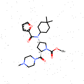 CN1CCN(C(=O)[C@@H]2C[C@H](N(C(=O)c3ccco3)C3CCC(C)(C)CC3)CN2C(=O)OC(C)(C)C)CC1